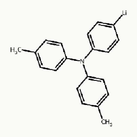 [Li][c]1ccc(N(c2ccc(C)cc2)c2ccc(C)cc2)cc1